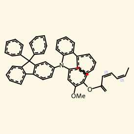 C=C(/C=C\C=C/C)Oc1ccc(N(c2ccc3c(c2)C(c2ccccc2)(c2ccccc2)c2ccccc2-3)c2ccccc2-c2ccccc2)cc1OC